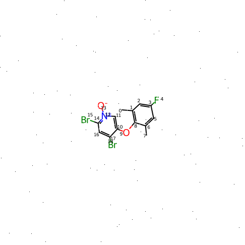 Cc1cc(F)cc(C)c1Oc1c[n+]([O-])c(Br)cc1Br